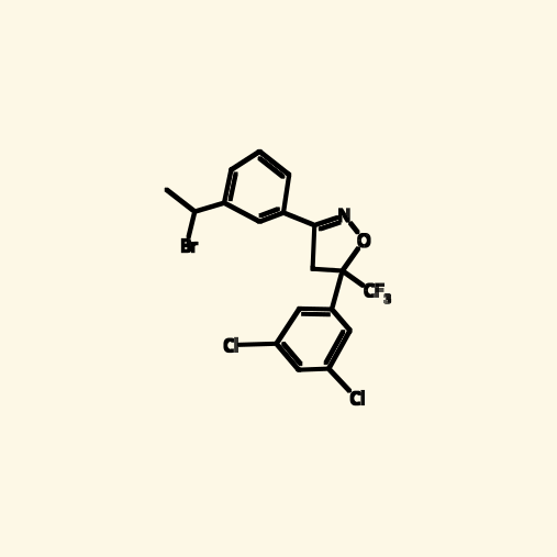 CC(Br)c1cccc(C2=NOC(c3cc(Cl)cc(Cl)c3)(C(F)(F)F)C2)c1